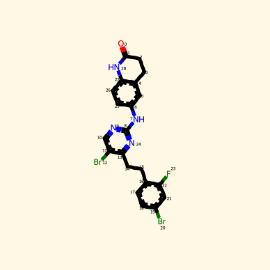 O=C1CCc2cc(Nc3ncc(Br)c(CCc4ccc(Br)cc4F)n3)ccc2N1